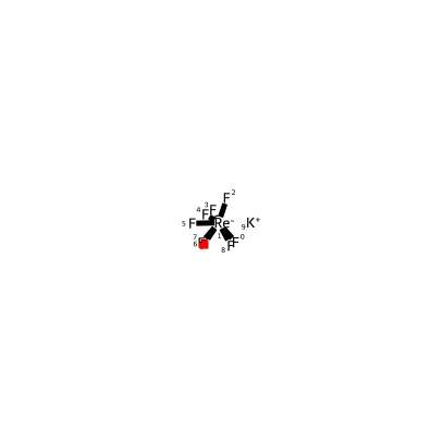 [F][Re-]([F])([F])([F])([F])([F])([F])[F].[K+]